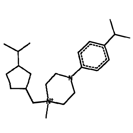 CC(C)c1ccc(N2CC[N+](C)(CC3CCC(C(C)C)C3)CC2)cc1